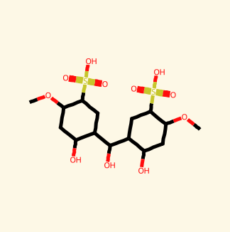 COC1CC(O)C(C(O)C2CC(S(=O)(=O)O)C(OC)CC2O)CC1S(=O)(=O)O